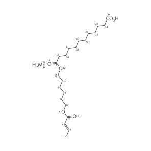 CC=CC(=O)OCCCCCCOC(=O)CCCCCCCCCCC(=O)O.[MgH2]